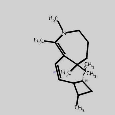 CC1=C(/C=C\C2C(C)C[C@H]2C)C(C)(C)CCCN1C